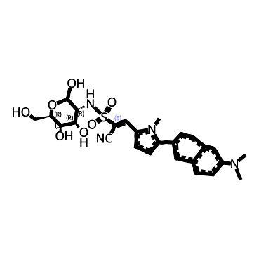 CN(C)c1ccc2cc(-c3ccc(/C=C(\C#N)S(=O)(=O)N[C@H]4C(O)O[C@H](CO)[C@@H](O)[C@@H]4O)n3C)ccc2c1